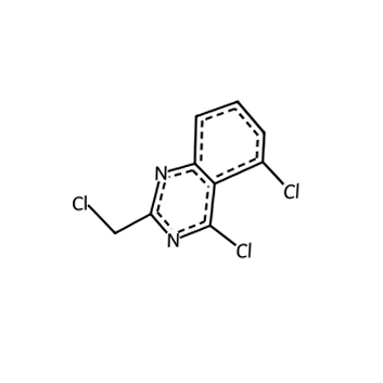 ClCc1nc(Cl)c2c(Cl)cccc2n1